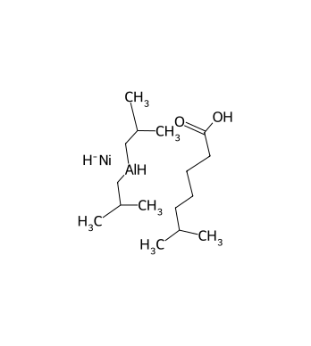 CC(C)CCCCC(=O)O.CC(C)[CH2][AlH][CH2]C(C)C.[H-].[Ni]